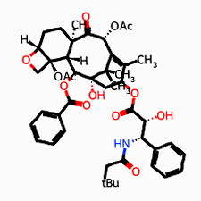 CC(=O)O[C@H]1C(=O)[C@]2(C)CC[C@H]3OC[C@@]3(OC(C)=O)[C@H]2[C@H](OC(=O)c2ccccc2)[C@]2(O)C[C@H](OC(=O)[C@H](O)[C@@H](NC(=O)CC(C)(C)C)c3ccccc3)C(C)=C1C2(C)C